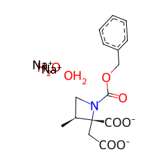 C[C@H]1CN(C(=O)OCc2ccccc2)[C@@]1(CC(=O)[O-])C(=O)[O-].O.O.[Na+].[Na+]